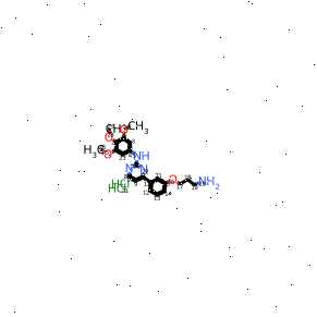 COc1cc(Nc2nccc(-c3cccc(OCCCN)c3)n2)cc(OC)c1OC.Cl.Cl